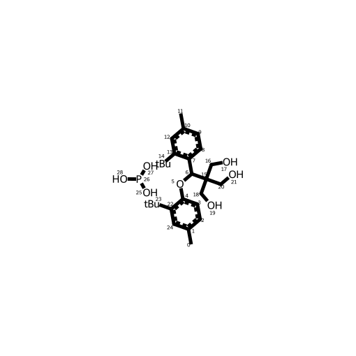 Cc1ccc(OC(c2ccc(C)cc2C(C)(C)C)C(CO)(CO)CO)c(C(C)(C)C)c1.OP(O)O